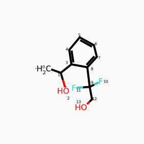 [CH2]C(O)c1ccccc1C(F)(F)CO